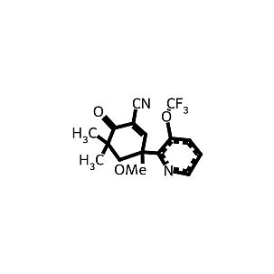 COC1(c2ncccc2OC(F)(F)F)C=C(C#N)C(=O)C(C)(C)C1